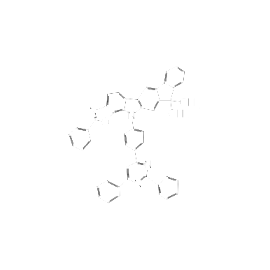 CC1(C)c2ccccc2-c2cc3c4ccc5nc(-c6ccccc6)oc5c4n(-c4ccc(-c5cc(-c6ccccc6)nc(-c6ccccc6)n5)cc4)c3cc21